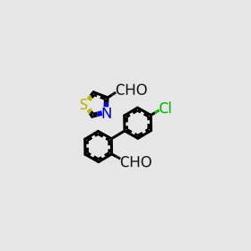 O=Cc1ccccc1-c1ccc(Cl)cc1.O=Cc1cscn1